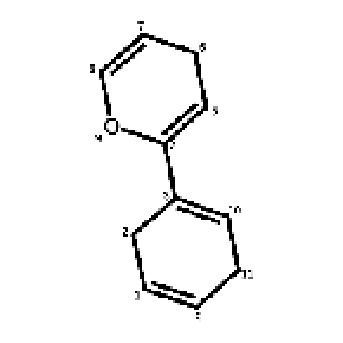 C1=CCC(C2=CCC=CO2)=CC1